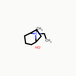 CC[N+]1(C)C2CCCC1CC2.[OH-]